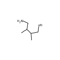 CCCCC(C)C(C)[CH2][AlH2]